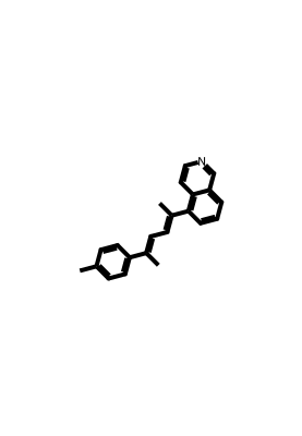 C/C(=C\C=C(/C)c1cccc2cnccc12)c1ccc(C)cc1